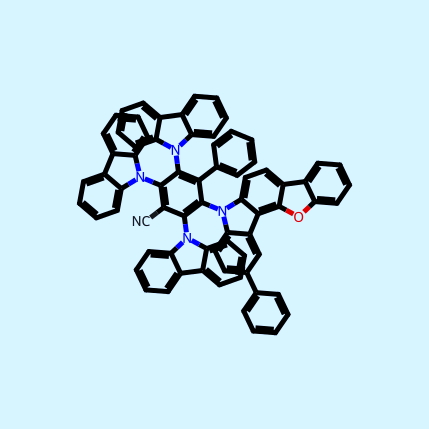 N#Cc1c(-n2c3ccccc3c3ccccc32)c(-n2c3ccccc3c3ccccc32)c(-c2ccccc2)c(-n2c3ccc(-c4ccccc4)cc3c3c4oc5ccccc5c4ccc32)c1-n1c2ccccc2c2ccccc21